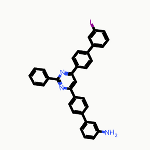 Nc1cccc(-c2ccc(-c3cc(-c4ccc(-c5cccc(I)c5)cc4)nc(-c4ccccc4)n3)cc2)c1